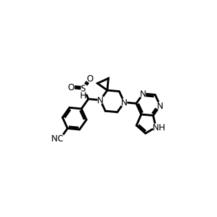 N#Cc1ccc(C(N2CCN(c3ncnc4[nH]ccc34)CC23CC3)[SH](=O)=O)cc1